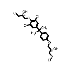 CCSC[C@@H](O)COc1ccc(C(C)(C)c2cc(Cl)c(OC[C@H](O)CCl)c(Cl)c2)cc1